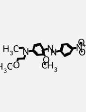 CCN(CCOC)c1ccc(N=Nc2ccc([N+](=O)[O-])cc2)c(OC)c1